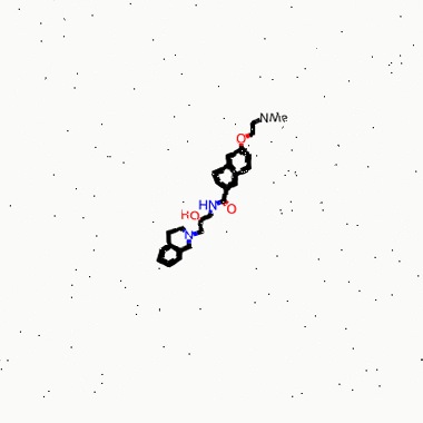 CNCCOc1ccc2cc(C(=O)NCC(O)CN3CCc4ccccc4C3)ccc2c1